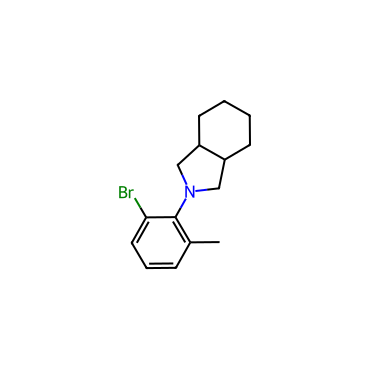 Cc1cccc(Br)c1N1CC2CCCCC2C1